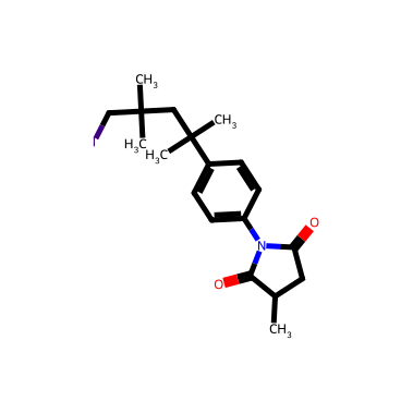 CC1CC(=O)N(c2ccc(C(C)(C)CC(C)(C)CI)cc2)C1=O